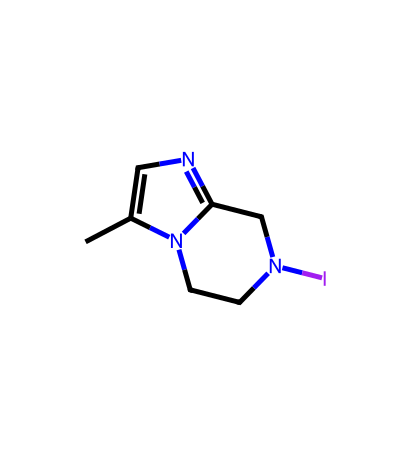 Cc1cnc2n1CCN(I)C2